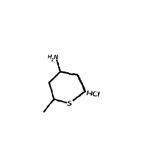 CC1CC(N)CCS1.Cl